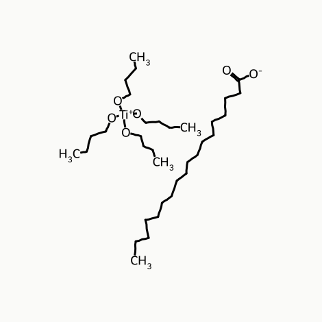 CCCCCCCCCCCCCCCCCC(=O)[O-].CCCC[O][Ti+]([O]CCCC)([O]CCCC)[O]CCCC